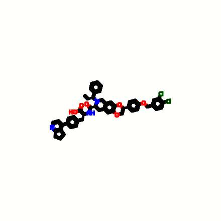 CC[C@@H](c1ccccc1)N1Cc2cc3c(cc2C[C@H]1C(=O)N[C@@H](Cc1ccc(-c2ccnc4c2CCC4)cc1)C(=O)O)OC[C@H](c1ccc(OCc2ccc(Cl)c(Cl)c2)cc1)O3